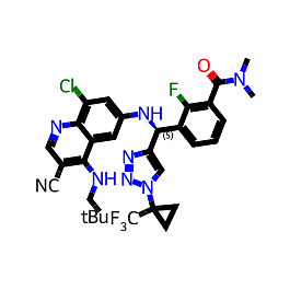 CN(C)C(=O)c1cccc([C@H](Nc2cc(Cl)c3ncc(C#N)c(NCC(C)(C)C)c3c2)c2cn(C3(C(F)(F)F)CC3)nn2)c1F